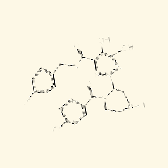 CN1CCN(C(=O)c2ccc(Cl)cc2)C(c2nc(O)c(O)c(C(=O)NCc3ccc(F)cc3)n2)C1